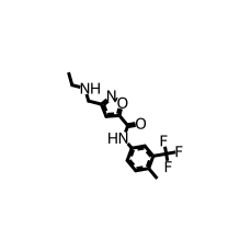 CCNCc1cc(C(=O)Nc2ccc(C)c(C(F)(F)F)c2)on1